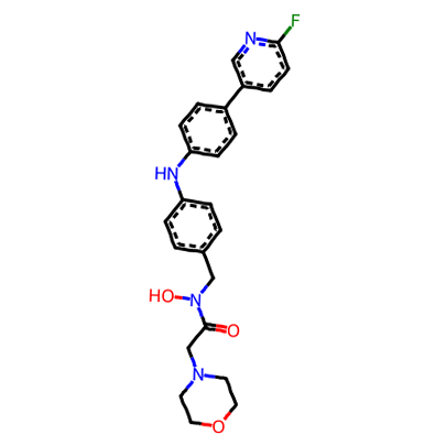 O=C(CN1CCOCC1)N(O)Cc1ccc(Nc2ccc(-c3ccc(F)nc3)cc2)cc1